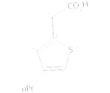 CCCc1csc(CC(=O)O)c1